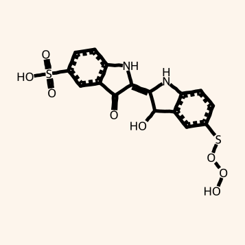 O=C1/C(=C2/Nc3ccc(SOOO)cc3C2O)Nc2ccc(S(=O)(=O)O)cc21